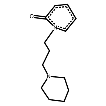 O=c1ccccn1CCCN1CCCCC1